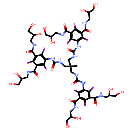 CC(CNC(=O)Nc1c(I)c(C(=O)NCC(O)CO)c(I)c(C(=O)NCC(O)CO)c1I)(CNC(=O)Nc1c(I)c(C(=O)NCC(O)CO)c(I)c(C(=O)NCC(O)CO)c1I)CNC(=O)Nc1c(I)c(C(=O)NCC(O)CO)c(I)c(C(=O)NCC(O)CO)c1I